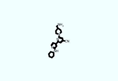 N#Cc1cc(-c2ccnc(NC3CCCCC3)c2)nc(N2CCC(CN)CC2)c1